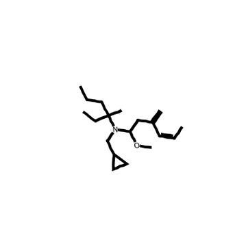 C=C(/C=C\C)CC(OC)N(CC1CC1)C(C)(CC)CCC